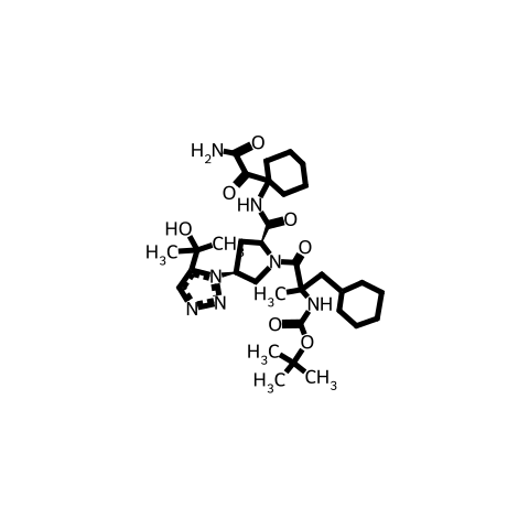 CC(C)(C)OC(=O)NC(C)(CC1CCCCC1)C(=O)N1C[C@@H](n2nncc2C(C)(C)O)C[C@H]1C(=O)NC1(C(=O)C(N)=O)CCCCC1